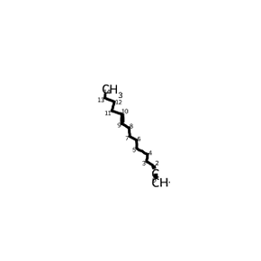 [CH]=C=CCCCCCCC=CCCCC